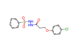 O=C(CCOc1ccc(Cl)cc1)NNS(=O)(=O)c1ccccc1